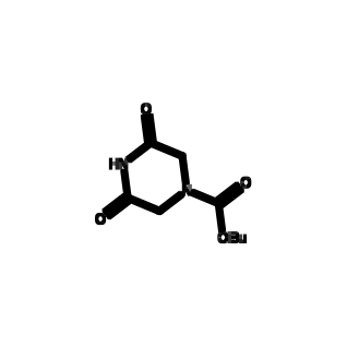 CC(C)COC(=O)N1CC(=O)NC(=O)C1